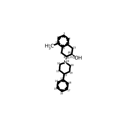 Cc1cccc2c1C[C@@H](N1CCC(c3ccccc3)CC1)[C@H](O)C2